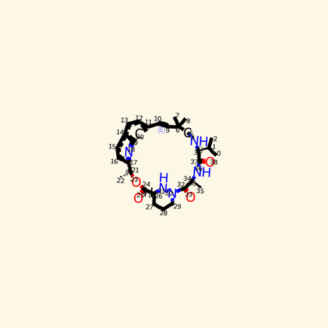 CC(C)[C@@H]1NCC(C)(C)/C=C/c2ccc3ccc(nc3c2)[C@@H](C)OC(=O)[C@@H]2CCCN(N2)C(=O)[C@H](C)NC1=O